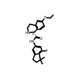 CCOc1ccc2c(c1)CCN[C@H]2C(=O)Nc1cc(F)c2c(c1)CCC2(C)C